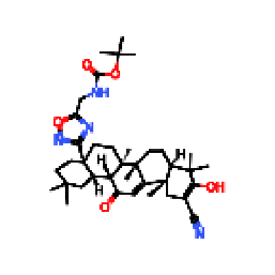 CC1(C)CC[C@]2(c3noc(CNC(=O)OC(C)(C)C)n3)CC[C@]3(C)[C@H](C(=O)C=C4[C@@]5(C)CC(C#N)=C(O)C(C)(C)[C@@H]5CC[C@]43C)[C@@H]2C1